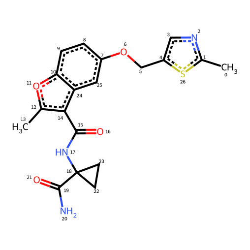 Cc1ncc(COc2ccc3oc(C)c(C(=O)NC4(C(N)=O)CC4)c3c2)s1